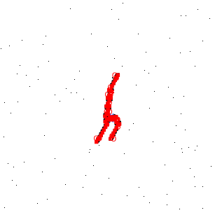 C=CC(=O)OCCCCCCCCCOc1ccc2c3ccc(OC(=O)c4ccc(COC5CCC(C(=O)Oc6ccc(OCCCCCCOC(=O)C=C)cc6)CC5)cc4)cc3c3nc4ccc(Oc5ccc(OCCCCCCOC(=O)C=C)cc5)cc4nc3c2c1